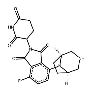 O=C1CCC(N2C(=O)c3c(F)ccc(N4[C@@H]5CC[C@H]4CNC5)c3C2=O)C(=O)N1